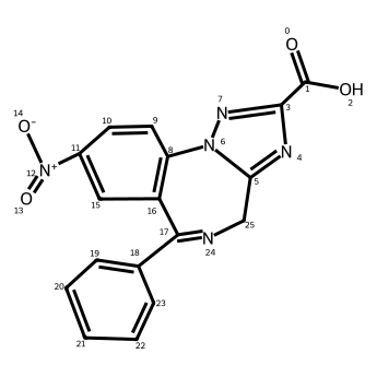 O=C(O)c1nc2n(n1)-c1ccc([N+](=O)[O-])cc1C(c1ccccc1)=NC2